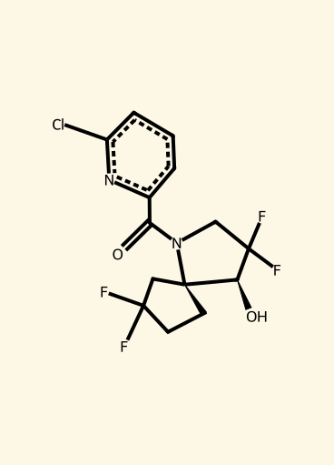 O=C(c1cccc(Cl)n1)N1CC(F)(F)[C@@H](O)[C@@]12CCC(F)(F)C2